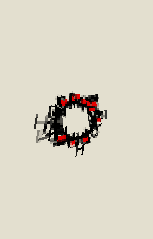 CC[C@H]1NC(=O)[C@@H]([C@H](O[Si](C)(C)C(C)(C)C)[C@H](C)CC=O)N(C)C(=O)[C@@H](C(C)C)N(C)C(=O)[C@@H](CC(C)C)N(C)C(=O)[C@@H](CC(C)C)N(C)C(=O)[C@H](C)NC(=O)[C@@H](C)NC(=O)[C@@H](CC(C)C)N(C)C(=O)[C@@H](C(C)C)NC(=O)[C@H](CC(C)C)N(C)C(=O)[C@@H](C)N(C)C1=O